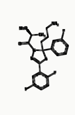 CO[C@@H](C)C(=O)N1N=C(c2cc(F)ccc2F)SC1(CCCN)c1cccc(F)c1